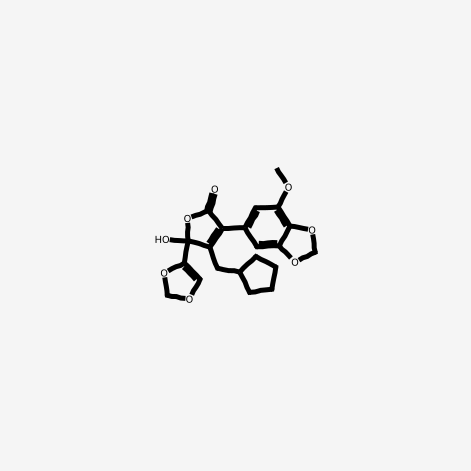 COc1cc(C2=C(CC3CCCC3)C(O)(C3=COCO3)OC2=O)cc2c1OCO2